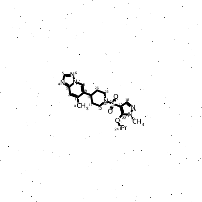 Cc1cc2ncnn2cc1C1CCN(S(=O)(=O)c2cnn(C)c2OC(C)C)CC1